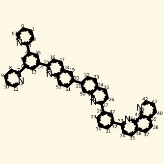 c1ccc(-c2cc(-c3ccccn3)cc(-c3ccc4cc(-c5ccc6ccc(-c7cccc(-c8ccc9ccc%10cccnc%10c9n8)c7)nc6c5)ccc4n3)c2)nc1